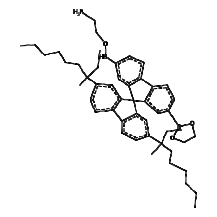 CCCCCCC(C)(CC)c1ccc2c(c1)C1(c3cc(BOCCP)ccc3-c3ccc(B4OCCO4)cc31)c1cc(C(C)(CC)CCCCCC)ccc1-2